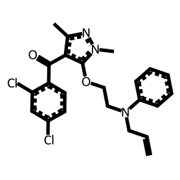 C=CCN(CCOc1c(C(=O)c2ccc(Cl)cc2Cl)c(C)nn1C)c1ccccc1